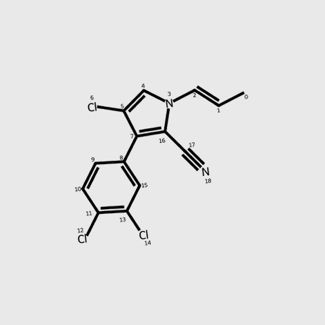 CC=Cn1cc(Cl)c(-c2ccc(Cl)c(Cl)c2)c1C#N